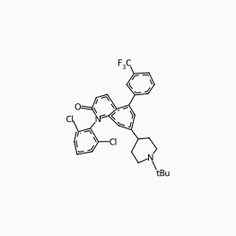 CC(C)(C)N1CCC(c2cc(-c3cccc(C(F)(F)F)c3)c3ccc(=O)n(-c4c(Cl)cccc4Cl)c3c2)CC1